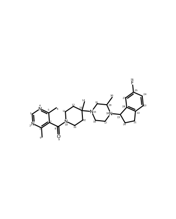 Cc1ncnc(C)c1C(=O)N1CCC(C)(N2CCN(C3CCc4ccc(F)cc43)C(C)C2)CC1